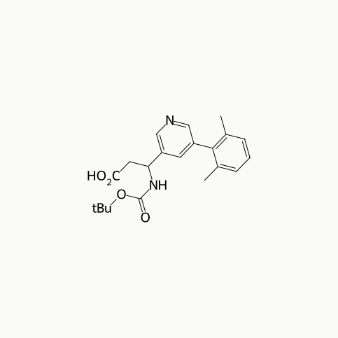 Cc1cccc(C)c1-c1cncc(C(CC(=O)O)NC(=O)OC(C)(C)C)c1